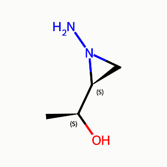 C[C@H](O)[C@@H]1CN1N